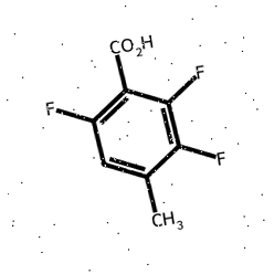 Cc1cc(F)c(C(=O)O)c(F)c1F